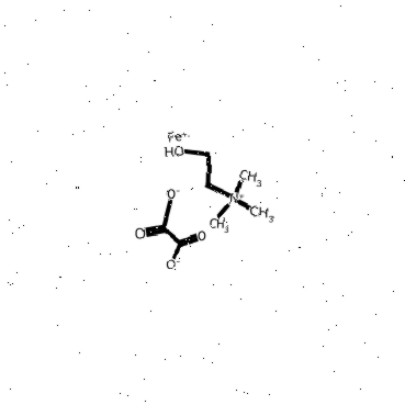 C[N+](C)(C)CCO.O=C([O-])C(=O)[O-].[Fe+]